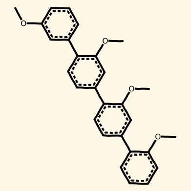 COc1[c]ccc(-c2ccc(-c3ccc(-c4ccccc4OC)cc3OC)cc2OC)c1